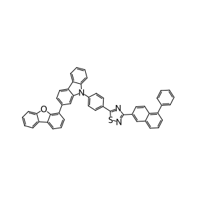 c1ccc(-c2cccc3cc(-c4nsc(-c5ccc(-n6c7ccccc7c7ccc(-c8cccc9c8oc8ccccc89)cc76)cc5)n4)ccc23)cc1